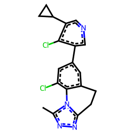 Cc1nnc2n1-c1c(Cl)cc(-c3cncc(C4CC4)c3Cl)cc1CC2